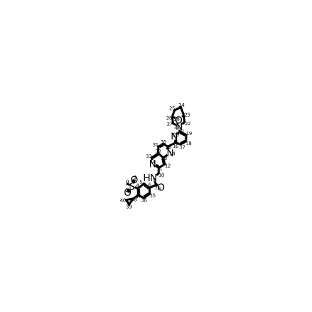 CS(=O)(=O)c1cc(C(=O)NCc2cc3nc(-c4cccc(N5CC6CCC(C5)O6)n4)ccc3cn2)ccc1C1CC1